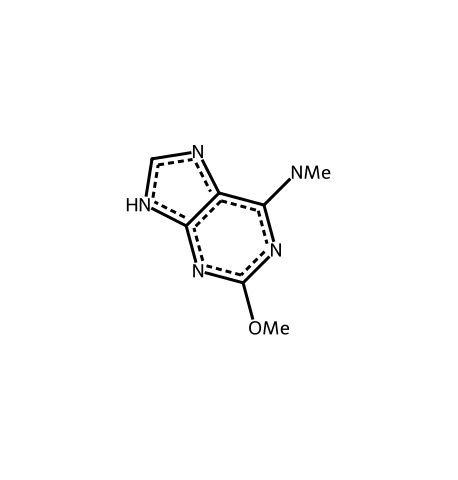 CNc1nc(OC)nc2[nH]cnc12